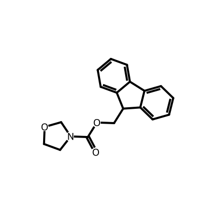 O=C(OCC1c2ccccc2-c2ccccc21)N1CCOC1